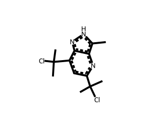 Cc1[nH]nc2c(C(C)(C)Cl)cc(C(C)(C)Cl)nc12